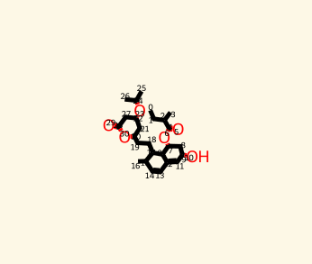 CCC(C)C(=O)OC1CC(O)C=C2C=CC(C)C(CCC3CC(OC(C)C)CC(=O)O3)C21